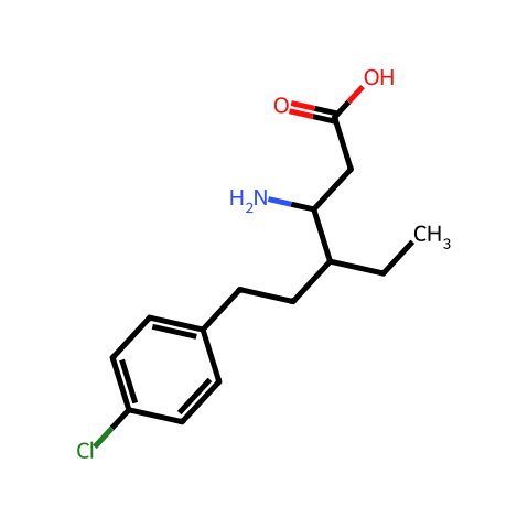 CCC(CCc1ccc(Cl)cc1)C(N)CC(=O)O